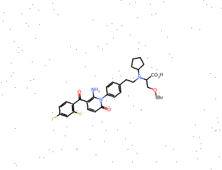 CC(C)(C)OCC(C(=O)O)N(CCc1ccc(-n2c(N)c(C(=O)c3ccc(F)cc3F)ccc2=O)cc1)C1CCCC1